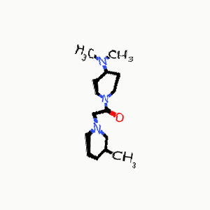 CC1CCCN(CC(=O)N2CCC(N(C)C)CC2)C1